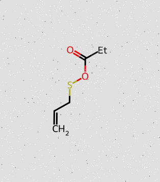 C=CCSOC(=O)CC